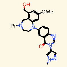 COc1cc(CO)c2c(c1)N(c1ccc3ncn(-c4cnn(C)c4)c(=O)c3c1)CCN(C(C)C)C2